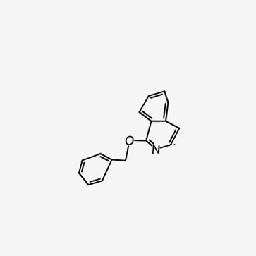 [c]1cc2ccccc2c(OCc2ccccc2)n1